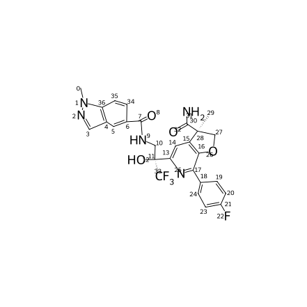 Cn1ncc2cc(C(=O)NC[C@](O)(c3cc4c(c(-c5ccc(F)cc5)n3)OC[C@]4(C)C(N)=O)C(F)(F)F)ccc21